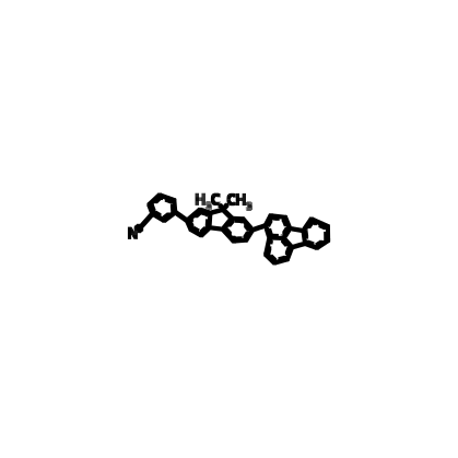 CC1(C)c2cc(-c3cccc(C#N)c3)ccc2-c2ccc(-c3ccc4c5c(cccc35)-c3ccccc3-4)cc21